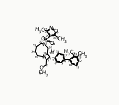 COCC1[C@@H](c2ccc(-c3cccc(C)c3C)cc2)[C@@H]2CN(S(=O)(=O)c3c(C)noc3C)CCCCN12